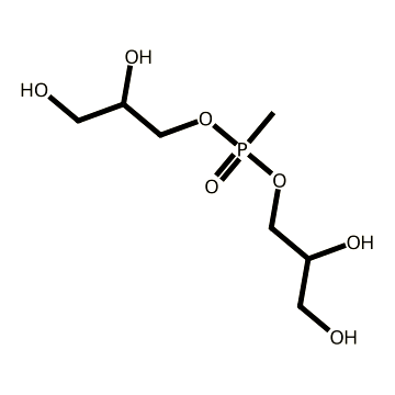 CP(=O)(OCC(O)CO)OCC(O)CO